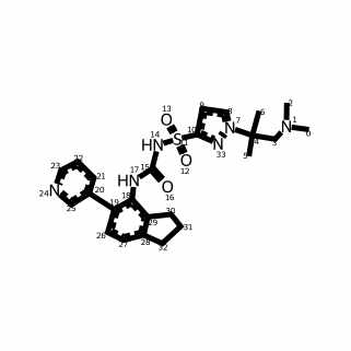 CN(C)CC(C)(C)n1ccc(S(=O)(=O)NC(=O)Nc2c(-c3cccnc3)ccc3c2CCC3)n1